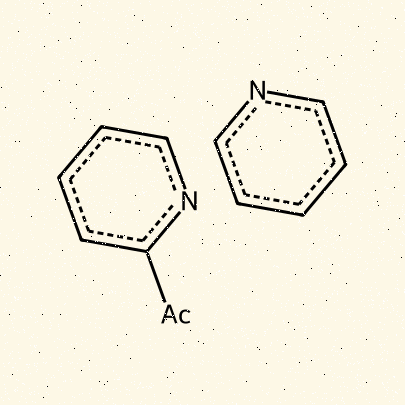 CC(=O)c1ccccn1.c1ccncc1